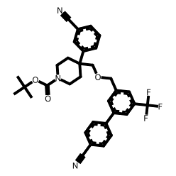 CC(C)(C)OC(=O)N1CCC(COCc2cc(-c3ccc(C#N)cc3)cc(C(F)(F)F)c2)(c2cccc(C#N)c2)CC1